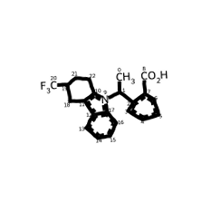 CC(c1ccccc1C(=O)O)n1c2c(c3ccccc31)CC(C(F)(F)F)CC2